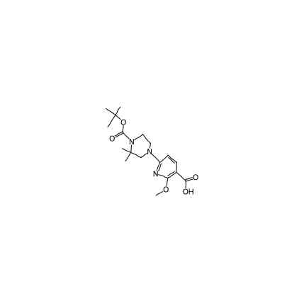 COc1nc(N2CCN(C(=O)OC(C)(C)C)C(C)(C)C2)ccc1C(=O)O